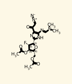 CC(=O)OC[C@H]1O[C@@H](c2nc(C(=O)C=[N+]=[N-])c(N=CN(C)C)[nH]2)[C@@H](F)[C@@H]1OC(C)=O